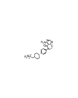 CC(C)(N)C[C@H]1CC[C@H](c2ccc(N3CCOc4ncnc(N)c4C3=O)cc2)CC1